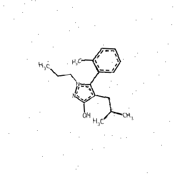 CCCn1nc(O)c(CC(C)C)c1-c1ccccc1C